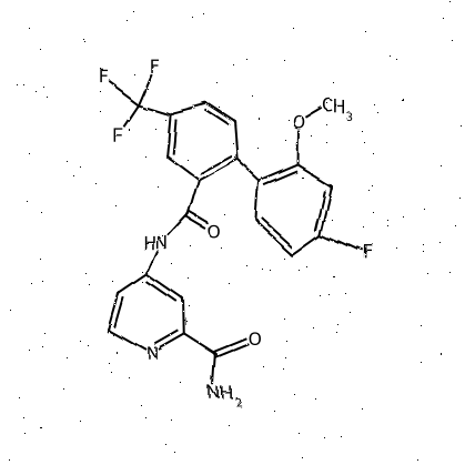 COc1cc(F)ccc1-c1ccc(C(F)(F)F)cc1C(=O)Nc1ccnc(C(N)=O)c1